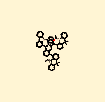 CCN1c2ccccc2C(C)(C)c2cccc(-c3cccc4c(-c5cccc6c7ccccc7n(-c7ccccc7)c56)c5cccc(-c6cccc7c6N(CC)c6ccccc6C7(C)C)c5cc34)c21